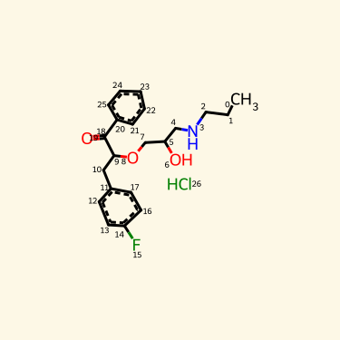 CCCNCC(O)COC(Cc1ccc(F)cc1)C(=O)c1ccccc1.Cl